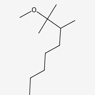 CCCCCC(C)C(C)(C)OC